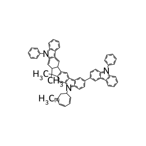 C[C@H]1C=CC=CC(n2c3ccc(-c4ccc5c(c4)c4ccccc4n5-c4ccccc4)cc3c3cc4c(cc32)C(C)(C)C2C=c3c(c5ccccc5n3-c3ccccc3)=CC42)C1